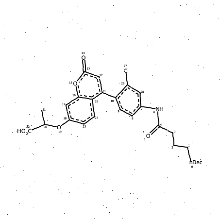 CCCCCCCCCCCCCC(=O)Nc1ccc(-c2cc(=O)oc3cc(OC(C)C(=O)O)ccc23)c(Cl)c1